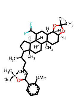 COc1ccccc1C(CCC[C@@H](C)[C@H]1CC[C@H]2[C@@H]3C(C(F)F)C[C@H]4[C@H]5OC(C)(C)O[C@H]5CC[C@]4(C)[C@H]3CC[C@]12C)O[Si](C)(C)C(C)(C)C